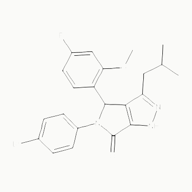 COc1cc(F)ccc1C1c2c(CC(C)C)n[nH]c2C(=O)N1c1ccc(Br)cc1